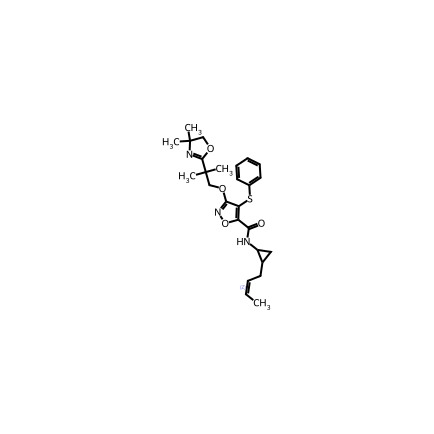 C/C=C\CC1CC1NC(=O)c1onc(OCC(C)(C)C2=NC(C)(C)CO2)c1Sc1ccccc1